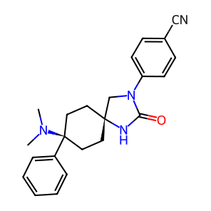 CN(C)[C@]1(c2ccccc2)CC[C@@]2(CC1)CN(c1ccc(C#N)cc1)C(=O)N2